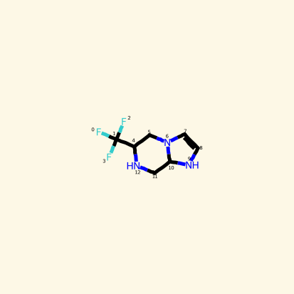 FC(F)(F)C1CN2C=CNC2[C]N1